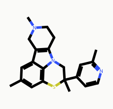 Cc1cc2c3c(c1)c1c(n3CC(C)(c3ccnc(C)c3)S2)CCN(C)C1